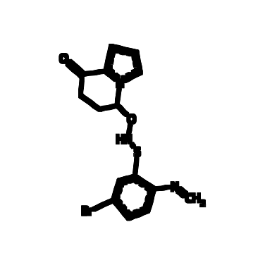 C=Nc1ccc(Br)cc1SNOC1CCC(=O)c2cccn21